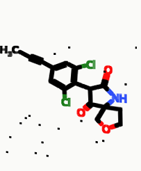 CC#Cc1cc(Cl)c(C2C(=O)NC3(CCOC3)C2=O)c(Cl)c1